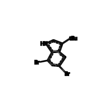 CC(C)(C)c1c[nH]c2c(Br)cc(Br)cc12